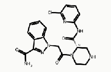 NC(=O)c1nn(CC(=O)N2CCNC[C@H]2C(=O)Nc2cccc(Cl)n2)c2ccccc12